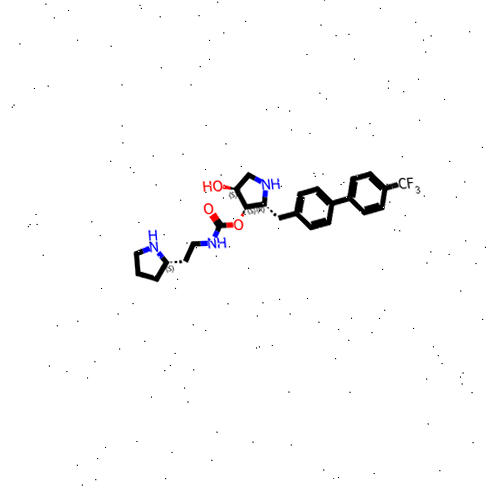 O=C(NCC[C@@H]1CCCN1)O[C@@H]1[C@@H](O)CN[C@@H]1Cc1ccc(-c2ccc(C(F)(F)F)cc2)cc1